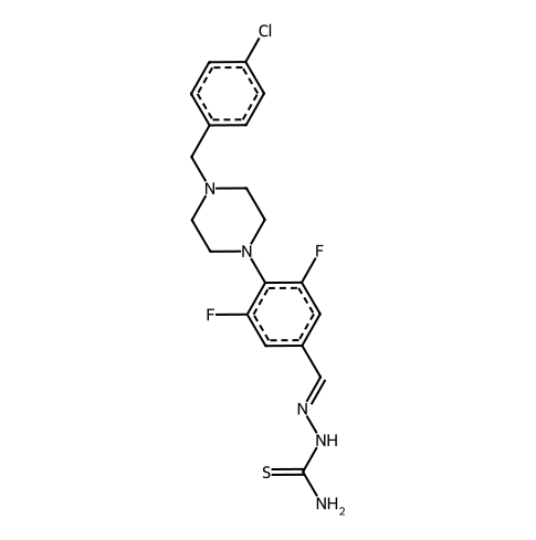 NC(=S)NN=Cc1cc(F)c(N2CCN(Cc3ccc(Cl)cc3)CC2)c(F)c1